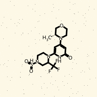 C[C@@H]1COCCN1c1cc(N2CCN([SH](=O)=O)CC2C(F)(F)F)[nH]c(=O)c1